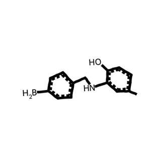 Bc1ccc(CNc2cc(C)ccc2O)cc1